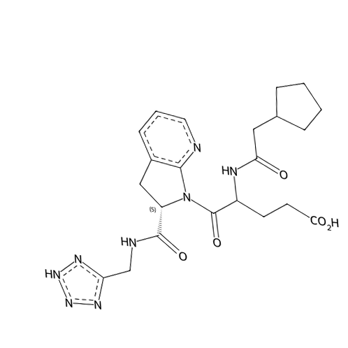 O=C(O)CCC(NC(=O)CC1CCCC1)C(=O)N1c2ncccc2C[C@H]1C(=O)NCc1nn[nH]n1